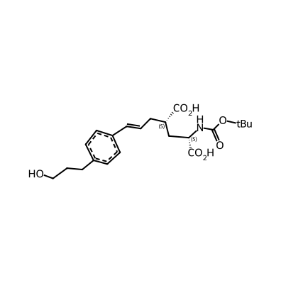 CC(C)(C)OC(=O)N[C@@H](C[C@H](CC=Cc1ccc(CCCO)cc1)C(=O)O)C(=O)O